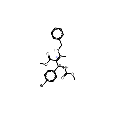 COC(=O)N[C@H](/C(C(=O)OC)=C(\C)NCc1ccccc1)c1ccc(Br)cc1